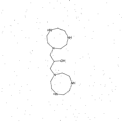 OC(CN1CCNCCNCC1)CN1CCNCCNCC1